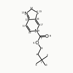 CC(C)(C)CCOC(=O)N1C=CC2=NCSC2=C1